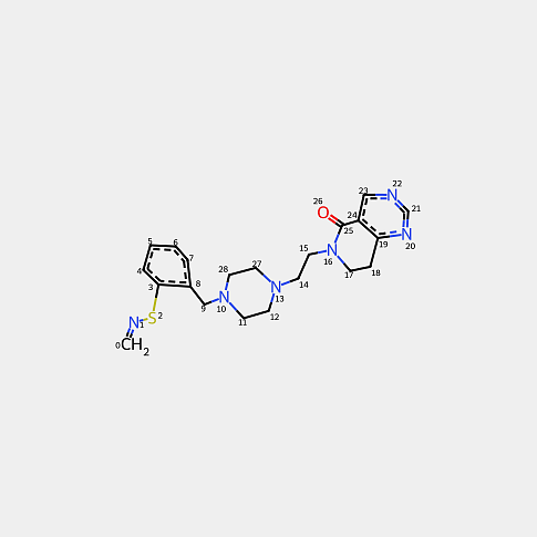 C=NSc1ccccc1CN1CCN(CCN2CCc3ncncc3C2=O)CC1